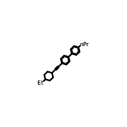 CCCc1ccc(-c2ccc(C#CC3CCC(CC)CC3)cc2)cc1